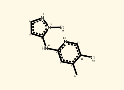 CCn1nccc1Nc1cc(C)c(Cl)cn1